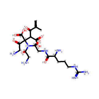 C=C(C)C(=O)C(C(=O)O)C(C(=O)O)(C(=O)CN)N(C(=O)CN)C(=O)CNC(=O)C(N)CCCNC(=N)N